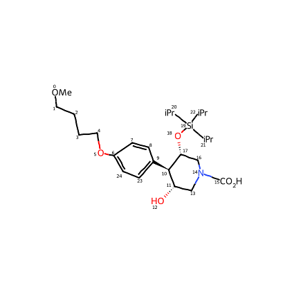 COCCCCOc1ccc([C@@H]2[C@@H](O)CN(C(=O)O)C[C@H]2O[Si](C(C)C)(C(C)C)C(C)C)cc1